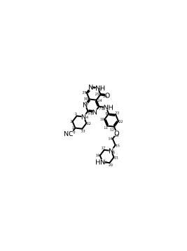 N#CC1CCN(c2nc(Nc3ccc(OCCN4CCNCC4)cc3)c3c(=O)[nH]ncc3n2)CC1